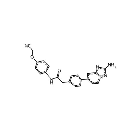 N#CCOc1ccc(NC(=O)Cc2ccc(-c3ccn4nc(N)nc4c3)cc2)cc1